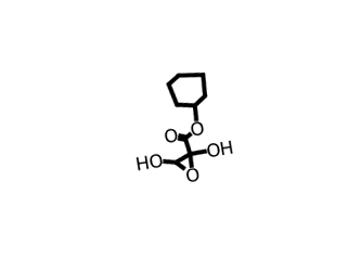 O=C(OC1CCCCC1)C1(O)OC1O